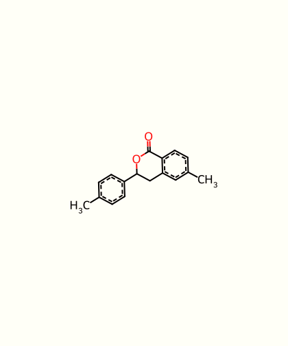 Cc1ccc(C2Cc3cc(C)ccc3C(=O)O2)cc1